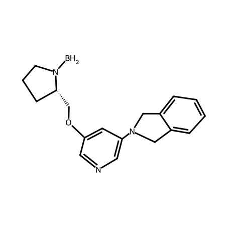 BN1CCC[C@H]1COc1cncc(N2Cc3ccccc3C2)c1